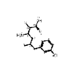 CC(Cc1cccc(Cl)c1)CC(N)C(C)C(=O)O